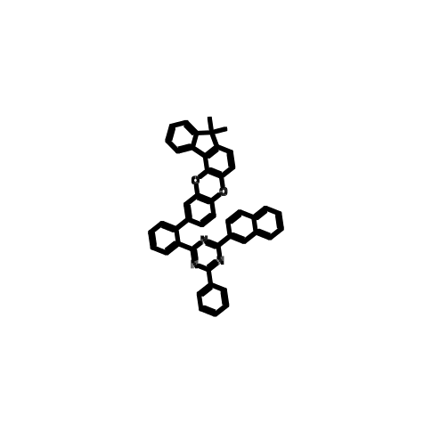 CC1(C)c2ccccc2-c2c1ccc1c2Oc2cc(-c3ccccc3-c3nc(-c4ccccc4)nc(-c4ccc5ccccc5c4)n3)ccc2O1